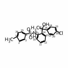 Cc1ccc(S(=O)(=O)Nc2ccccc2C(C)(O)c2ccc(Cl)cc2)cc1